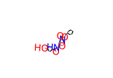 O=C(NCC1CCN(C(=O)OCc2ccccc2)CCO1)c1ccc(O)cc1